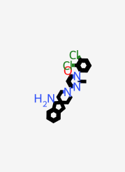 Cc1nc(N2CCC3(CC2)Cc2ccccc2[C@H]3N)cc(=O)n1-c1cccc(Cl)c1Cl